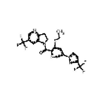 CCSc1cc(-n2ccc(C(F)(F)F)n2)cnc1C(=O)N1CCc2ncc(C(F)(F)F)cc21